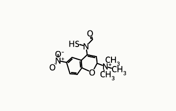 C[N+](C)(C)C1C=C(N(S)C=O)c2cc([N+](=O)[O-])ccc2O1